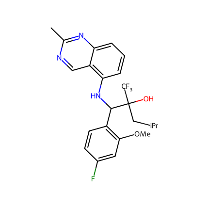 COc1cc(F)ccc1C(Nc1cccc2nc(C)ncc12)C(O)(CC(C)C)C(F)(F)F